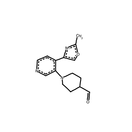 Cc1nc(-c2ccncc2N2CCC(C=O)CC2)co1